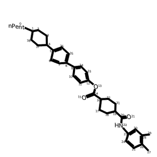 CCCCCC1CCC(c2ccc(-c3ccc(OC(=O)C4CCC(C(=O)Nc5ccc(C)c(C)c5)CC4)cc3)cc2)CC1